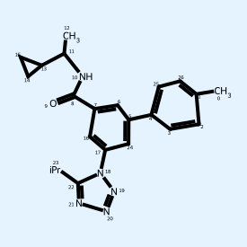 Cc1ccc(-c2cc(C(=O)NC(C)C3CC3)cc(-n3nnnc3C(C)C)c2)cc1